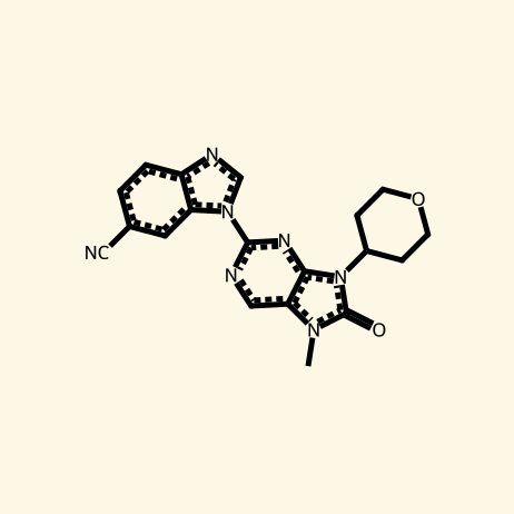 Cn1c(=O)n(C2CCOCC2)c2nc(-n3cnc4ccc(C#N)cc43)ncc21